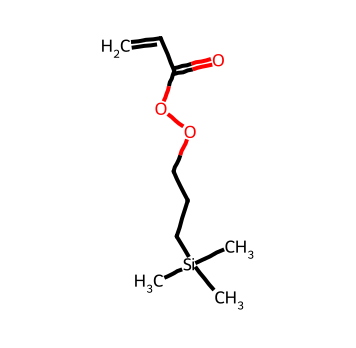 C=CC(=O)OOCCC[Si](C)(C)C